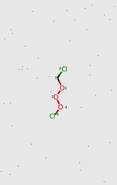 ClCOOOCl